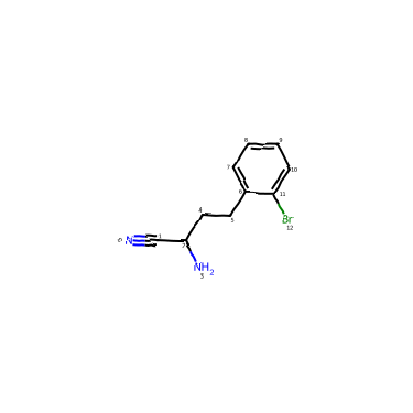 N#CC(N)CCc1ccccc1Br